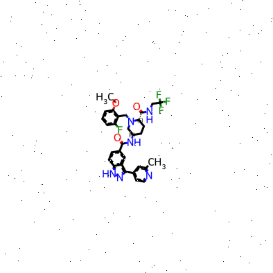 COc1cccc(F)c1CN1C[C@H](NC(=O)c2ccc3[nH]nc(-c4ccnc(C)c4)c3c2)CC[C@H]1C(=O)NCC(F)(F)F